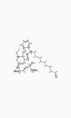 CC[C@H]1CN2CC[C@]3(C(=O)N(CCCCCCCCCCl)c4ccccc43)C2C[C@@H]1/C(=C\OC)C(=O)OC